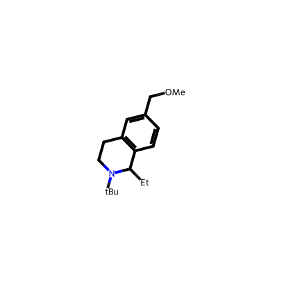 CCC1c2ccc(COC)cc2CCN1C(C)(C)C